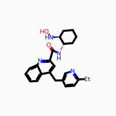 CCc1ccc(Cc2cc(C(=O)N[C@H]3CCCC[C@@H]3NO)nc3ccccc23)cn1